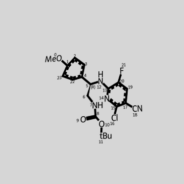 COc1ccc([C@H](CNC(=O)OC(C)(C)C)Nc2nc(Cl)c(C#N)cc2F)cc1